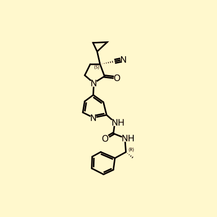 C[C@@H](NC(=O)Nc1cc(N2CC[C@@](C#N)(C3CC3)C2=O)ccn1)c1ccccc1